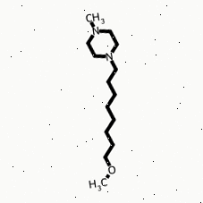 COCCCCCCCCN1CCN(C)CC1